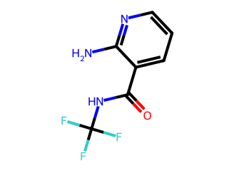 Nc1ncccc1C(=O)NC(F)(F)F